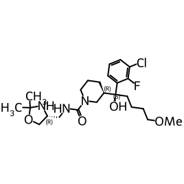 COCCCC[C@@](O)(c1cccc(Cl)c1F)[C@@H]1CCCN(C(=O)NC[C@@H]2COC(C)(C)N2)C1